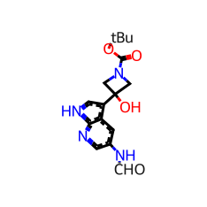 CC(C)(C)OC(=O)N1CC(O)(c2c[nH]c3ncc(NC=O)cc23)C1